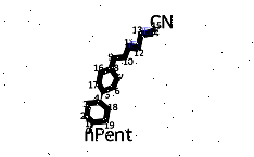 CCCCC[C@H]1CC[C@H](C2CCC(CC/C=C/C=C/C#N)CC2)CC1